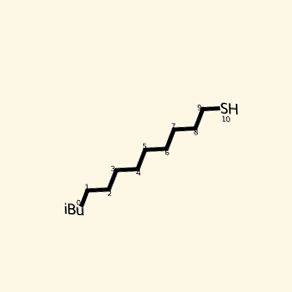 CCC(C)CCCCCCCCCS